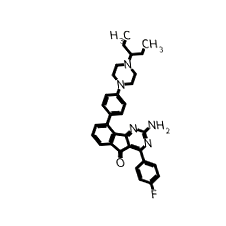 CCC(CC)N1CCN(c2ccc(-c3cccc4c3-c3nc(N)nc(-c5ccc(F)cc5)c3C4=O)cc2)CC1